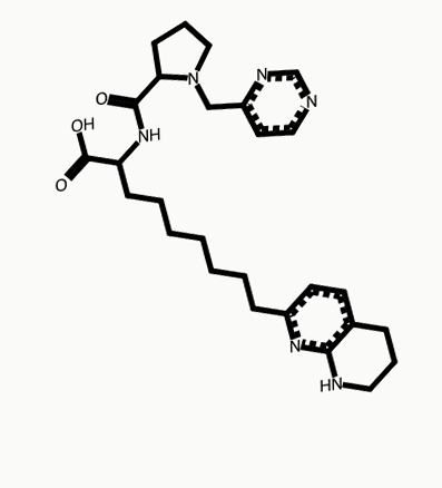 O=C(O)C(CCCCCCCc1ccc2c(n1)NCCC2)NC(=O)C1CCCN1Cc1ccncn1